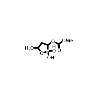 COC(=O)OC1CC(C)OS1(O)O